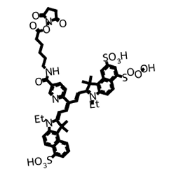 CCN1/C(=C/C=C(/C=C/C2=[N+](CC)c3ccc4c(SOOO)cc(S(=O)(=O)O)cc4c3C2(C)C)c2ccc(C(=O)NCCCCCC(=O)ON3C(=O)CCC3=O)cn2)C(C)(C)c2c1ccc1c(S(=O)(=O)O)cccc21